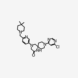 CC1(C)CCN(Cc2ccc(N3CC(=O)NC4(CCN(c5cc(Cl)ncn5)CC4)C3)cn2)CC1